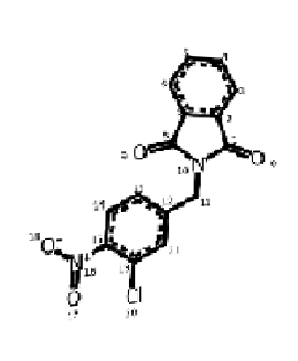 O=C1c2ccccc2C(=O)N1Cc1ccc([N+](=O)[O-])c(Cl)c1